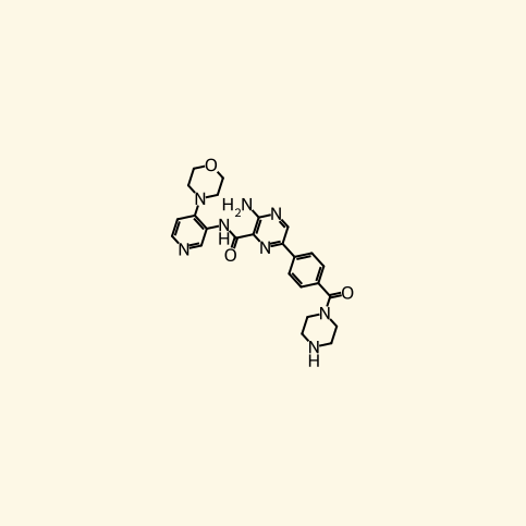 Nc1ncc(-c2ccc(C(=O)N3CCNCC3)cc2)nc1C(=O)Nc1cnccc1N1CCOCC1